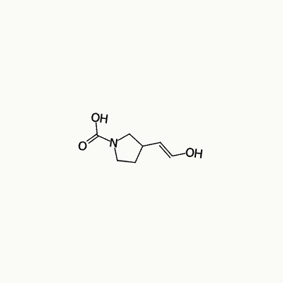 O=C(O)N1CCC(C=CO)C1